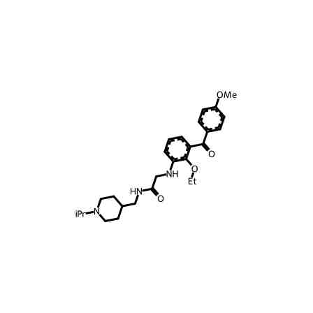 CCOc1c(NCC(=O)NCC2CCN(C(C)C)CC2)cccc1C(=O)c1ccc(OC)cc1